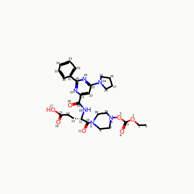 CCOC(=O)ON1CCN(C(=O)[C@H](CCC(=O)O)NC(=O)c2cc(N3CCCC3)nc(-c3ccccc3)n2)CC1